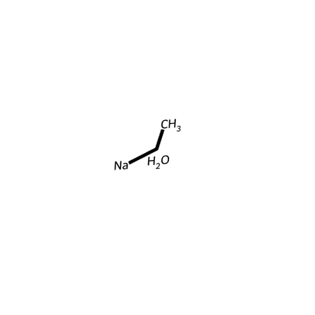 C[CH2][Na].O